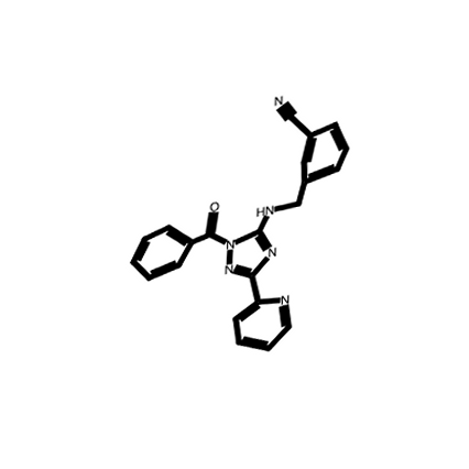 N#Cc1cccc(CNc2nc(-c3ccccn3)nn2C(=O)c2ccccc2)c1